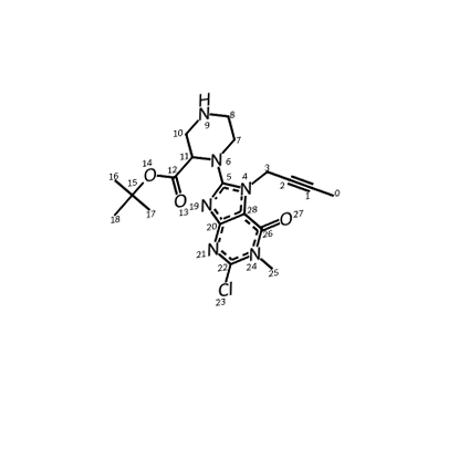 CC#CCn1c(N2CCNCC2C(=O)OC(C)(C)C)nc2nc(Cl)n(C)c(=O)c21